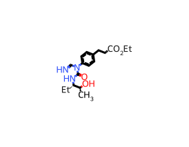 CCOC(=O)CCc1ccc(N(C=N)C(=O)N[C@@H](CC)[C@H](C)O)cc1